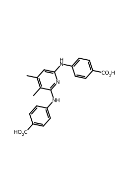 Cc1cc(Nc2ccc(C(=O)O)cc2)nc(Nc2ccc(C(=O)O)cc2)c1C